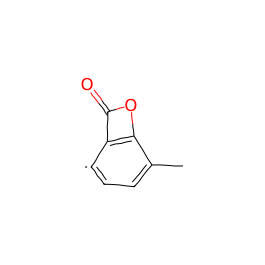 Cc1cc[c]c2c1OC2=O